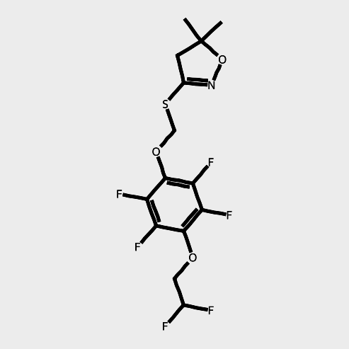 CC1(C)CC(SCOc2c(F)c(F)c(OCC(F)F)c(F)c2F)=NO1